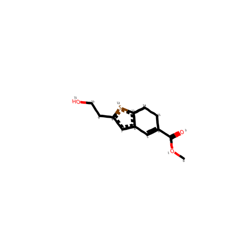 COC(=O)C1=Cc2cc(CCO)sc2CC1